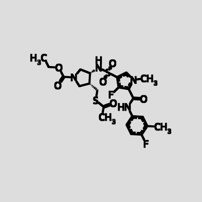 CCOC(=O)N1C[C@@H](CSC(C)=O)[C@@H](NS(=O)(=O)c2cn(C)c(C(=O)Nc3ccc(F)c(C)c3)c2F)C1